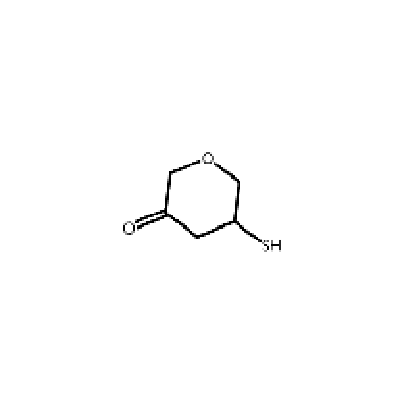 O=C1COCC(S)C1